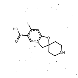 O=[N+](O)c1cc2c(cc1F)OC1(CCNCC1)C2